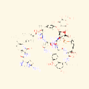 CN[C@H](CC(C)C)C(=O)N[C@H]1C(=O)N[C@@H](CC(N)=O)C(=O)N[C@H]2C(=O)N[C@H]3C(=O)N[C@H](C(=O)N[C@@H](C(=O)O)c4cc(O)cc(O)c4-c4cc3ccc4O)[C@H](O)c3ccc(c(Cl)c3)Oc3cc2cc(c3O[C@@H]2O[C@H](CO)[C@@H](O)[C@H](O)[C@H]2O[C@H]2C[C@](C)(N)C(O)[C@H](C)O2)Oc2ccc(cc2Cl)[C@H]1O.CO/N=C(/C(=O)N[C@@H]1C(=O)N2C(C(=O)O)=C(COC(C)=O)CS[C@H]12)c1csc(N)n1